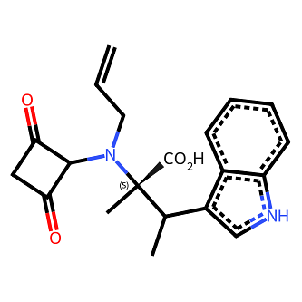 C=CCN(C1C(=O)CC1=O)[C@](C)(C(=O)O)C(C)c1c[nH]c2ccccc12